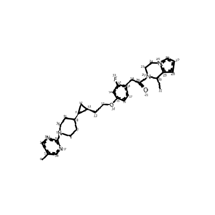 Cc1cnc(N2CCC([C@H]3C[C@H]3CCOc3ccc(CC(=O)N4CCn5cccc5C4C)c(F)c3)CC2)nc1